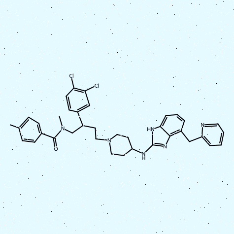 Cc1ccc(C(=O)N(C)CC(CCN2CCC(Nc3nc4c(Cc5ccccn5)cccc4[nH]3)CC2)c2ccc(Cl)c(Cl)c2)cc1